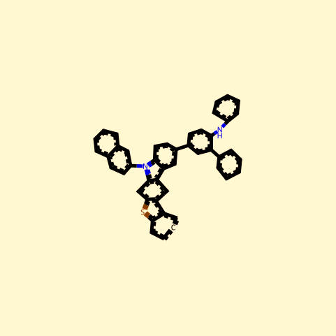 c1ccc(Nc2ccc(-c3ccc4c(c3)c3cc5c(cc3n4-c3ccc4ccccc4c3)sc3ccccc35)cc2-c2ccccc2)cc1